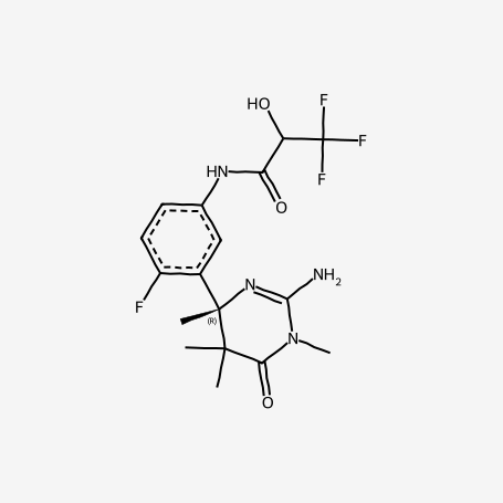 CN1C(=O)C(C)(C)[C@](C)(c2cc(NC(=O)C(O)C(F)(F)F)ccc2F)N=C1N